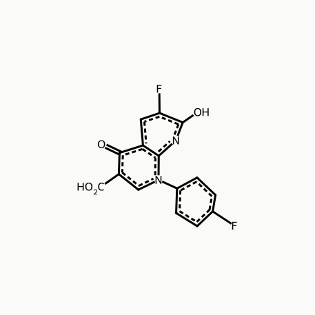 O=C(O)c1cn(-c2ccc(F)cc2)c2nc(O)c(F)cc2c1=O